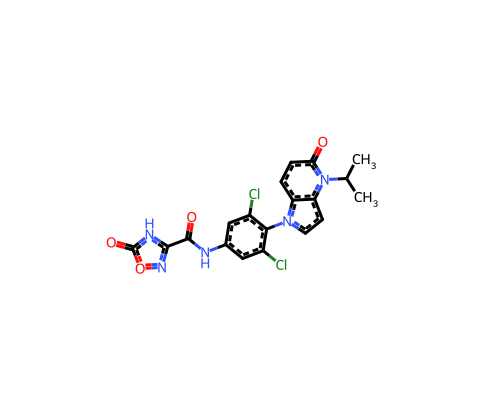 CC(C)n1c(=O)ccc2c1ccn2-c1c(Cl)cc(NC(=O)c2noc(=O)[nH]2)cc1Cl